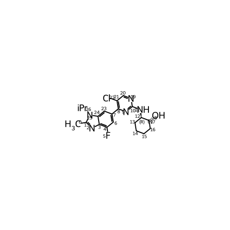 Cc1nc2c(F)cc(-c3nc(N[C@@H]4CCCC[C@H]4O)ncc3Cl)cc2n1C(C)C